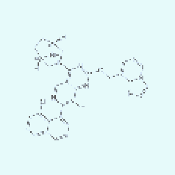 Fc1c(-c2cccc3cccc(Cl)c23)ncc2c(N3C[C@H]4CC[C@@H](C3)N4)nc(OCc3cccn4ccnc34)nc12